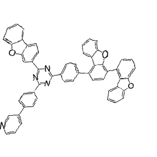 c1cncc(-c2ccc(-c3nc(-c4ccc(-c5ccc(-c6cccc7oc8ccccc8c67)c6oc7ccccc7c56)cc4)nc(-c4ccc5c(c4)oc4ccccc45)n3)cc2)c1